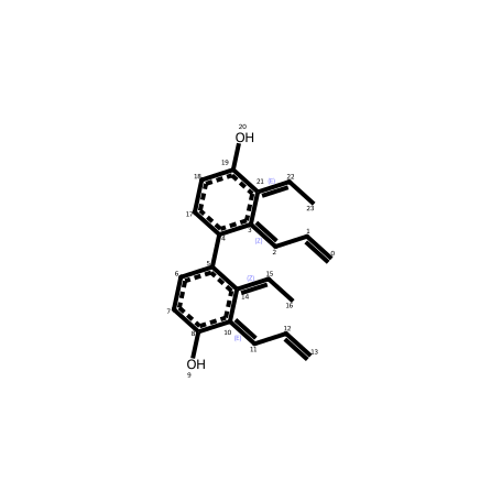 C=C/C=c1/c(-c2ccc(O)c(=C/C=C)/c2=C\C)ccc(O)/c1=C/C